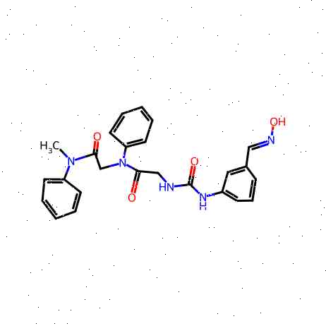 CN(C(=O)CN(C(=O)CNC(=O)Nc1cccc(C=NO)c1)c1ccccc1)c1ccccc1